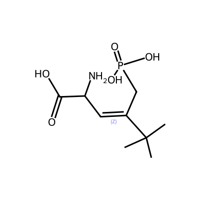 CC(C)(C)/C(=C/C(N)C(=O)O)CP(=O)(O)O